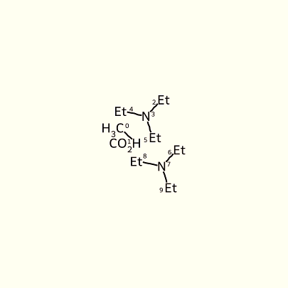 CC(=O)O.CCN(CC)CC.CCN(CC)CC